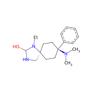 CCN1C(O)NC[C@]12CC[C@](c1ccccc1)(N(C)C)CC2